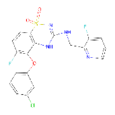 O=S1(=O)N=C(NCc2ncccc2F)Nc2c1ccc(F)c2Oc1cccc(Cl)c1